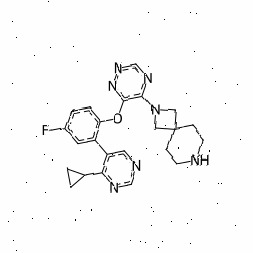 Fc1ccc(Oc2nncnc2N2CC3(CCNCC3)C2)c(-c2cncnc2C2CC2)c1